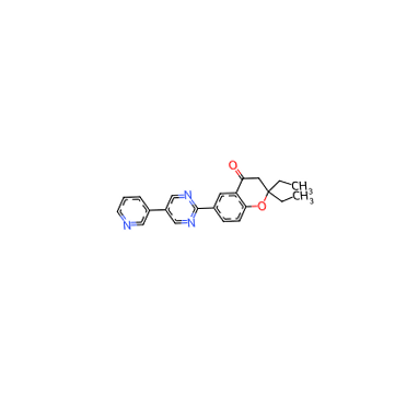 CCC1(CC)CC(=O)c2cc(-c3ncc(-c4cccnc4)cn3)ccc2O1